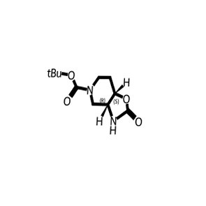 CC(C)(C)OC(=O)N1CC[C@@H]2OC(=O)N[C@@H]2C1